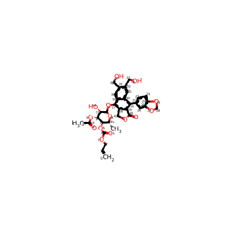 C=CCOC(=O)O[C@H]1[C@H](OC(C)=O)[C@@H](O)C(Oc2c3c(c(-c4ccc5c(c4)OCO5)c4cc(CO)c(CO)cc24)C(=O)OC3)O[C@@H]1C